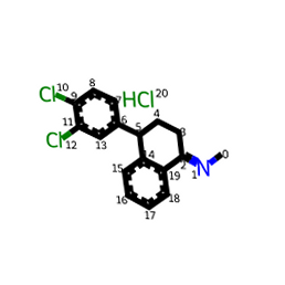 CN=C1CCC(c2ccc(Cl)c(Cl)c2)c2ccccc21.Cl